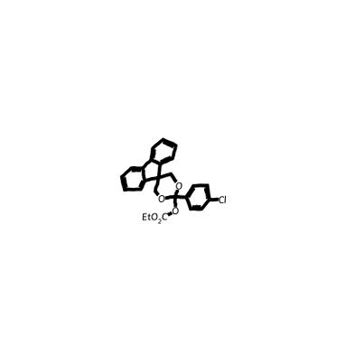 CCOC(=O)OC1(c2ccc(Cl)cc2)OCC2(CO1)c1ccccc1-c1ccccc12